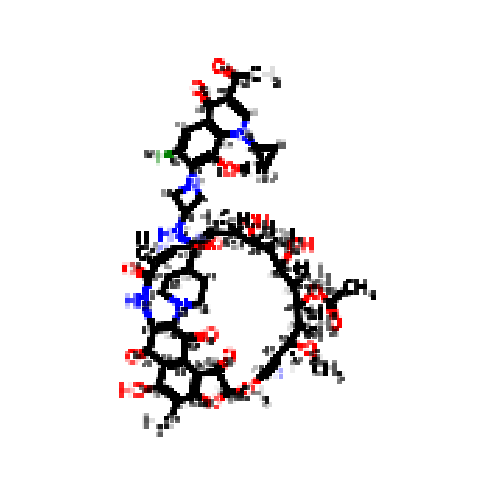 COc1c(N2CC(NC(=O)C3CCN(C4=C5NC(=O)/C(C)=C\C=C\[C@H](C)[C@H](O)[C@@H](C)[C@@H](O)[C@@H](C)[C@H](OC(C)=O)[C@H](C)[C@@H](OC)/C=C/O[C@@]6(C)Oc7c(C)c(O)c(c(c7C6=O)C4=O)C5=O)CC3)C2)c(F)cc2c(=O)c(C(C)=O)cn(C3CC3)c12